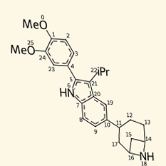 COc1ccc(-c2[nH]c3ccc(C4CCC5CC(C4)N5)cc3c2C(C)C)cc1OC